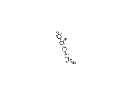 Cc1cc(-c2ccc(N3CCC(N4CCN(C(=O)OC(C)(C)C)CC4)CC3)nc2C(C)C)cn(C)c1=O